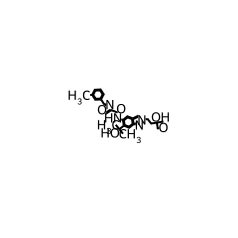 Cc1cccc(-c2nc(C(=O)Nc3cc4cn(CCC5(O)COC5)nc4cc3C(C)(C)O)co2)c1